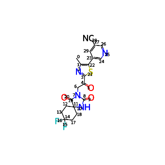 Cc1nc(C(=O)CN2C(=O)NC3(CCC(F)(F)CC3)C2=O)sc1-c1cncc(C#N)c1